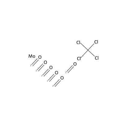 ClC(Cl)(Cl)Cl.[C]=O.[C]=O.[C]=O.[C]=O.[C]=O.[C]=O.[Mo]